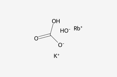 O=C([O-])O.[K+].[OH-].[Rb+]